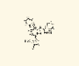 CN1C(=O)CC[C@@H]1C(=O)NC(Cc1c[nH]c2ccccc12)C(=O)O.c1ccccc1